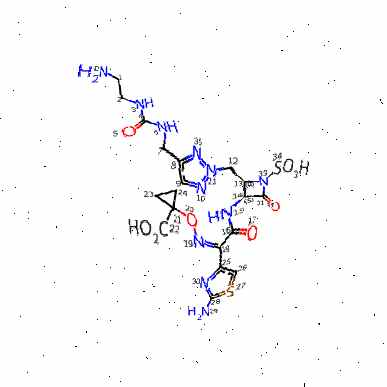 NCCNC(=O)NCc1cnn(C[C@@H]2[C@H](NC(=O)C(=NOC3(C(=O)O)CC3)c3csc(N)n3)C(=O)N2S(=O)(=O)O)n1